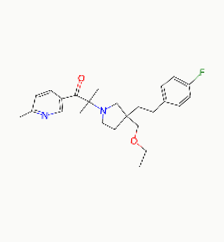 CCOCC1(CCc2ccc(F)cc2)CCN(C(C)(C)C(=O)c2ccc(C)nc2)C1